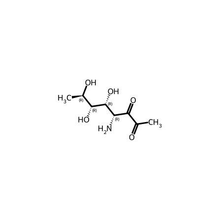 CC(=O)C(=O)[C@H](N)[C@@H](O)[C@H](O)[C@@H](C)O